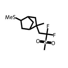 CSC1CC2CC1CC2(C)CC(F)(F)S(C)(=O)=O